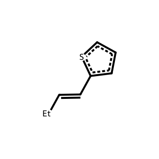 [CH2]CC=Cc1cccs1